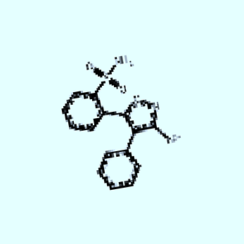 CCCc1noc(-c2ccccc2S(N)(=O)=O)c1-c1ccccc1